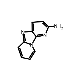 Nc1ccc2nc3ccccn3c2n1